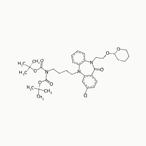 CC(C)(C)OC(=O)N(CCCCN1c2cc(Cl)ccc2C(=O)N(CCOC2CCCCO2)c2ccccc21)C(=O)OC(C)(C)C